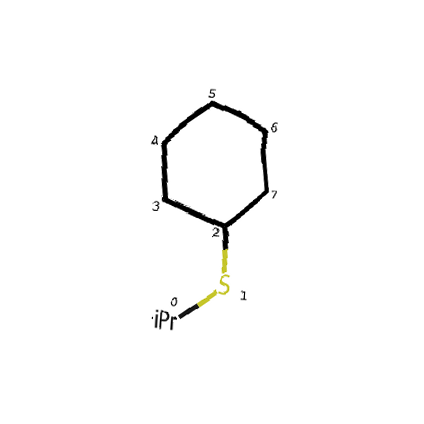 C[C](C)SC1CCCCC1